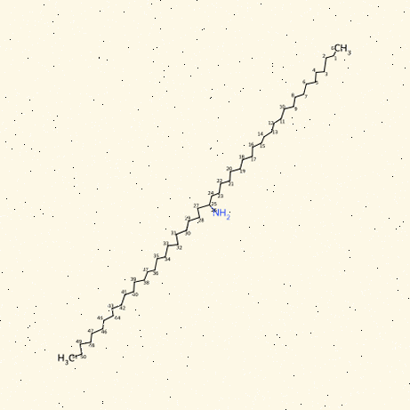 CCCCCCCCCCCCCCCCCCCCCCCCCC(N)CCCCCCCCCCCCCCCCCCCCCCCCC